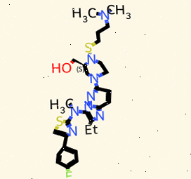 CCc1nc2ccc(N3CCN(SCCCN(C)C)[C@H](CO)C3)nn2c1N(C)c1nc(-c2ccc(F)cc2)cs1